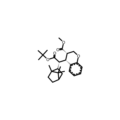 COC(=O)[C@@H]1COc2ccccc2[C@@H]1[C@@H](C(=O)OC(C)(C)C)C1CC2CCC1(C)C2(C)C